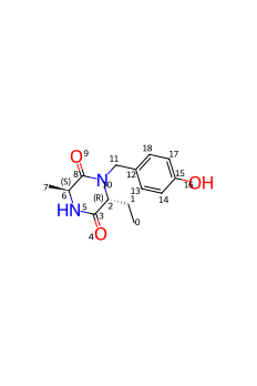 CC[C@@H]1C(=O)N[C@@H](C)C(=O)N1Cc1ccc(O)cc1